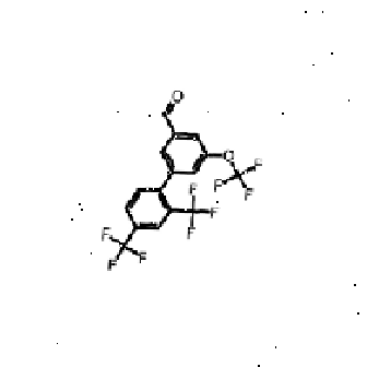 O=Cc1cc(OC(F)(F)F)cc(-c2ccc(C(F)(F)F)cc2C(F)(F)F)c1